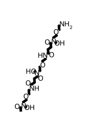 CC(=O)N(O)CCOCCNC(=O)CCC(=O)N(O)CCOCCNC(=O)CCC(=O)N(O)CCOCCN